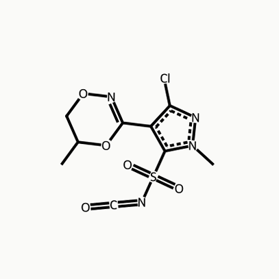 CC1CON=C(c2c(Cl)nn(C)c2S(=O)(=O)N=C=O)O1